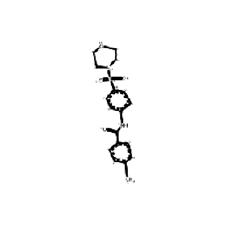 Cc1ccc(C(=O)Nc2ccc(S(=O)(=O)N3CCOCC3)cc2)cc1